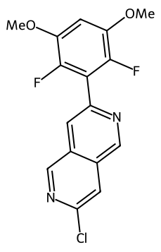 COc1cc(OC)c(F)c(-c2cc3cnc(Cl)cc3cn2)c1F